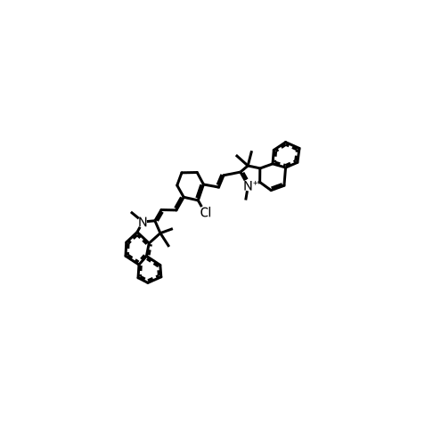 CN1/C(=C/C=C2\CCCC(/C=C/C3=[N+](C)C4C=Cc5ccccc5C4C3(C)C)=C2Cl)C(C)(C)c2c1ccc1ccccc21